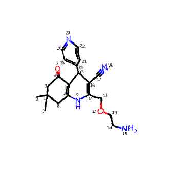 CC1(C)CC(=O)C2=C(C1)NC(COCCN)=C(C#N)C2c1ccncc1